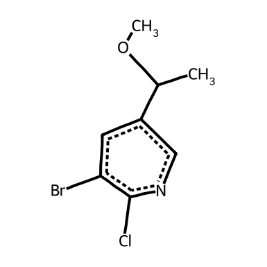 COC(C)c1cnc(Cl)c(Br)c1